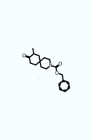 CC1CC2(CCC1=O)CCN(C(=O)OCc1ccccc1)CC2